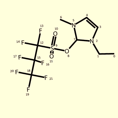 CCN1C=CN(C)C1OS(=O)(=O)C(F)(F)C(F)(F)C(F)(F)F